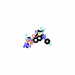 Cn1cnc(S(=O)(=O)N(CC(F)F)[C@H]2CCC3=Cc4c(cnn4-c4ccc(F)cc4)C[C@]3(C(=O)c3ncc(C(F)(F)F)s3)C2)n1